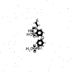 CS(=O)(=O)Nc1ccc(Oc2ccc3c(c2)S(O)(O)NCN3CCF)cc1